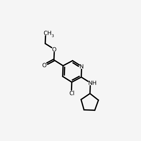 CCOC(=O)c1cnc(NC2CCCC2)c(Cl)c1